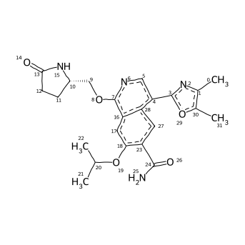 Cc1nc(-c2cnc(OC[C@@H]3CCC(=O)N3)c3cc(OC(C)C)c(C(N)=O)cc23)oc1C